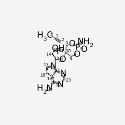 CC#C[C@@H]1OP(N)(=O)OC[C@@]1(F)O[C@H](CO)n1ccc2c(N)ncnc21